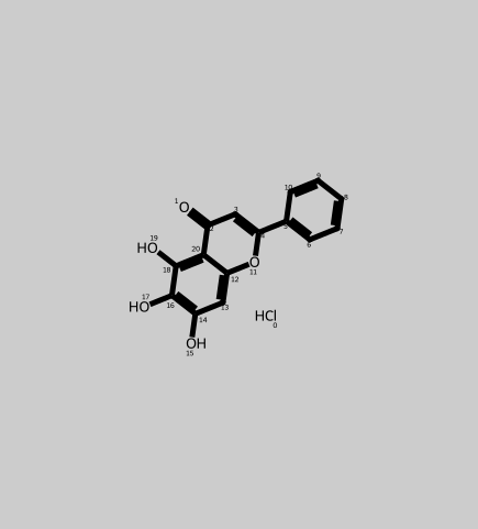 Cl.O=c1cc(-c2ccccc2)oc2cc(O)c(O)c(O)c12